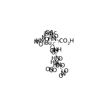 CC[C@H](C)[C@@H](NC(=O)C(C)(C)N(C)C)C(=O)N(C)[C@H](C[C@@H](OC(C)=O)c1nc(C(=O)N[C@@H](CCc2ccc(O)c(NC(=O)CCCNC(=O)[C@H](CNC(=O)CCCN3C(=O)C=CC3=O)NC(=O)CCCN3C(=O)C=CC3=O)c2)CC(C)C(=O)O)cs1)C(C)C